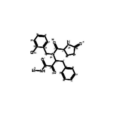 CCNC(=O)C(=O)C(Cc1ccccc1)N(Cc1ccccc1Cl)C(=O)C1CCC(=O)N1